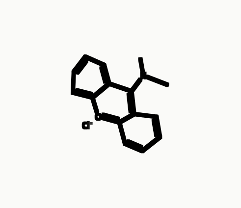 CN(C)c1c2ccccc2[o+]c2ccccc12.[Cl-]